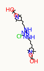 CC(C)(O)CON1C(C)(C)CC(CCCCNc2nc(Cl)nc(NCCCCC3CC(C)(C)N(OCC(C)(C)O)C(C)(C)C3)n2)CC1(C)C